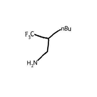 CCCCC(CN)C(F)(F)F